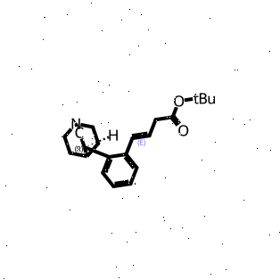 CC(C)(C)OC(=O)C/C=C/c1c[c]ccc1[C@@H]1CN2CCC1CC2